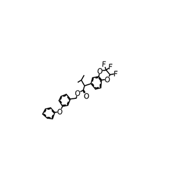 CC(C)C(C(=O)OCc1cccc(Oc2ccccc2)c1)c1ccc2c(c1)OC(F)(F)C(F)O2